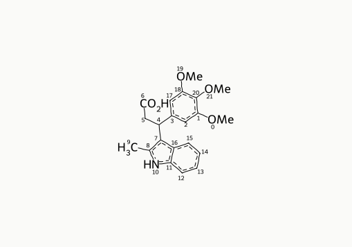 COc1cc(C(CC(=O)O)c2c(C)[nH]c3ccccc23)cc(OC)c1OC